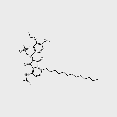 CCCCCCCCCCCCCc1ccc(NC(C)=O)c2c1C(=O)N([C@H](CS(C)(=O)=O)c1ccc(OC)c(OCC)c1)C2=O